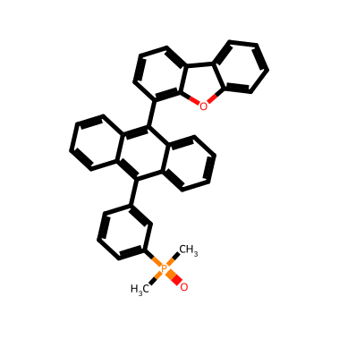 CP(C)(=O)c1cccc(-c2c3ccccc3c(-c3cccc4c3oc3ccccc34)c3ccccc23)c1